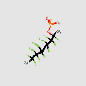 O=[PH](O)OC(F)(C(F)(F)F)C(F)(F)C(F)(F)C(F)(F)C(F)(F)C(F)(F)C(F)(F)F